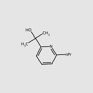 CCCc1cccc(C(C)(C)O)n1